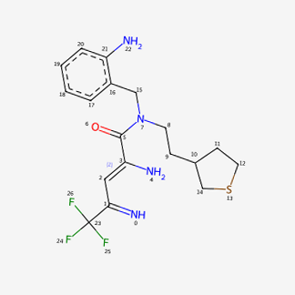 N=C(/C=C(\N)C(=O)N(CCC1CCSC1)Cc1ccccc1N)C(F)(F)F